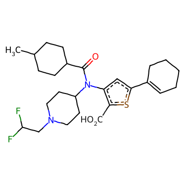 CC1CCC(C(=O)N(c2cc(C3=CCCCC3)sc2C(=O)O)C2CCN(CC(F)F)CC2)CC1